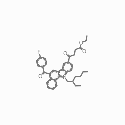 CCCCC(CC)Cn1c2ccc(C(=O)CCC(=O)OCC)cc2c2cc(C(=O)c3ccc(F)cc3)c3ccccc3c21